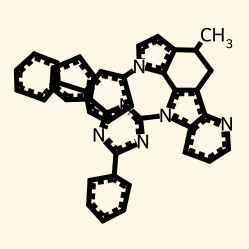 CC1Cc2c(n(-c3nc(-c4ccccc4)nc(-c4ccccc4)n3)c3cccnc23)-c2c1ccn2-c1cccc(-c2ccccc2)c1